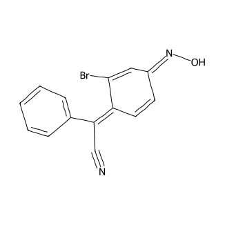 N#CC(=C1C=CC(=NO)C=C1Br)c1ccccc1